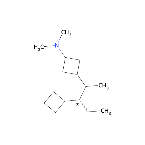 CC[C@H](C1CCC1)C(C)C1CC(N(C)C)C1